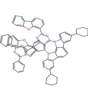 c1ccc(-c2nc(-c3ccccc3)nc(-c3cccc(-n4c5ccc(C6CCCCC6)cc5c5ccc6c7cc(C8CCCCC8)ccc7n(-c7nc(-c8cccc9c8oc8ccccc89)nc(-c8cccc9c8oc8ccccc89)n7)c6c54)c3)n2)cc1